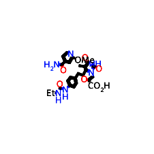 CCNC(=O)Nc1ccc(CC2OC(C(=O)O)=Cn3c2c(C)c(=O)[nH]c3=O)cc1.COc1cc(C(N)=O)ccn1